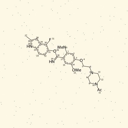 CNc1cc(OCCN2CCN(C(C)=O)CC2)c(OC)cc1C(=N)Oc1ccc2[nH]c(C)cc2c1F